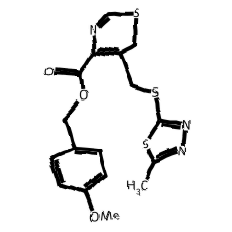 COc1ccc(COC(=O)C2=C(CSc3nnc(C)s3)CSC=N2)cc1